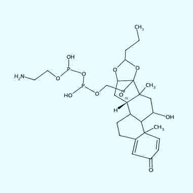 CCCC1OC2C[C@H]3C4CCC5=CC(=O)C=CC5(C)C4C(O)CC3(C)C2(C(=O)COP(O)OP(O)OCCN)O1